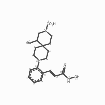 CC(C)(C)C1CN(C(=O)O)CCC12CCN(c1ccccc1C=CC(=O)NO)CC2